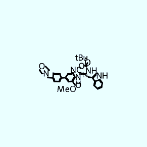 COC(=O)c1cc(-c2ccc(CN3CCOCC3)cc2)ccc1N[C@@H](C#N)[C@H](Cc1c[nH]c2ccccc12)NC(=O)OC(C)(C)C